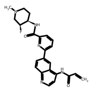 C=CC(=O)Nc1ccnc2ccc(-c3cccc(C(=O)N[C@@H]4CCN(C)C[C@@H]4F)n3)cc12